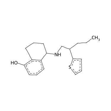 CCCC(CNC1CCCc2c(O)cccc21)c1cccs1